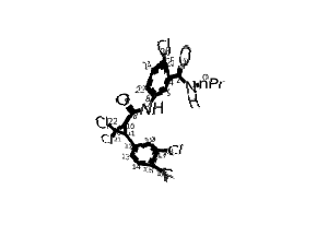 CCCNC(=O)c1cc(NC(=O)C2C(c3ccc(F)c(Cl)c3)C2(Cl)Cl)ccc1Cl